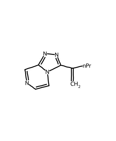 C=C(CCC)c1nnc2cnccn12